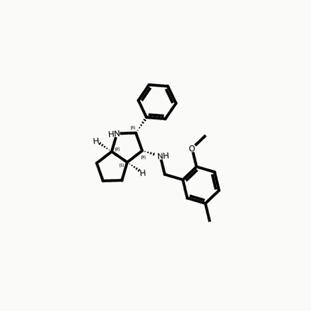 COc1ccc(C)cc1CN[C@@H]1[C@H]2CCC[C@H]2N[C@@H]1c1ccccc1